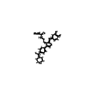 CNC(=O)NCCn1c(-c2ccc(C(C)N3CCOCC3)cc2)csc1=Nc1ccc(F)c(C)c1